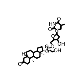 Cc1cn(C2CC(O)C(COP(=O)(CO)O[C@H]3CCC4C5CC[C@H]6CC(=O)CC[C@]6(C)C5CC[C@@]43C)O2)c(=O)[nH]c1=O